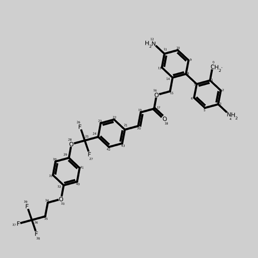 [CH2]c1cc(N)ccc1-c1ccc(N)cc1COC(=O)/C=C/c1ccc(C(F)(F)Oc2ccc(OCCC(F)(F)F)cc2)cc1